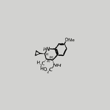 COc1ccc2c(c1)N[C@H](C1CC1)[C@@H](C)[C@H]2NC(=O)O